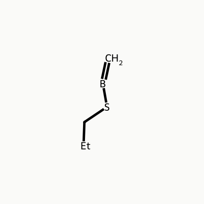 C=BSCCC